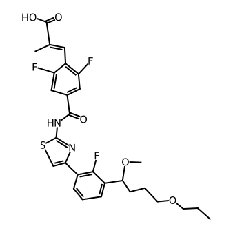 CCCOCCCC(OC)c1cccc(-c2csc(NC(=O)c3cc(F)c(C=C(C)C(=O)O)c(F)c3)n2)c1F